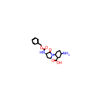 NC1CCC(N2CC[C@H](NC(=O)OCc3ccccc3)C2=O)C(C(=O)O)C1